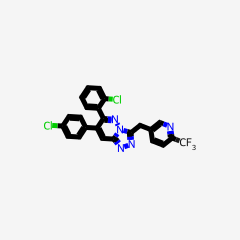 FC(F)(F)c1ccc(Cc2nnc3cc(-c4ccc(Cl)cc4)c(-c4ccccc4Cl)nn23)cn1